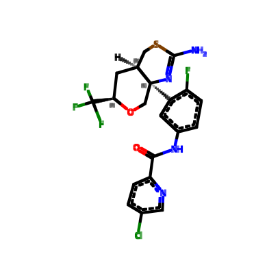 NC1=N[C@@]2(c3cc(NC(=O)c4ccc(Cl)cn4)ccc3F)CO[C@@H](C(F)(F)F)C[C@H]2CS1